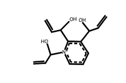 C=CC(O)c1ccc[n+](C(O)C=C)c1C(O)C=C